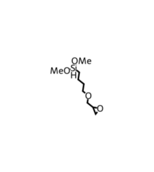 CO[SiH](CCCCOCC1CO1)OC